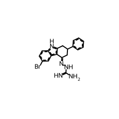 N=C(N)N/N=C1\CC(c2ccccc2)Cc2[nH]c3ccc(Br)cc3c21